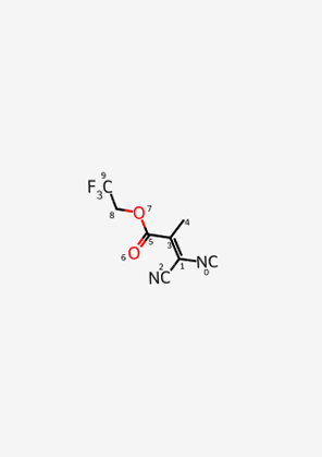 [C-]#[N+]/C(C#N)=C(\C)C(=O)OCC(F)(F)F